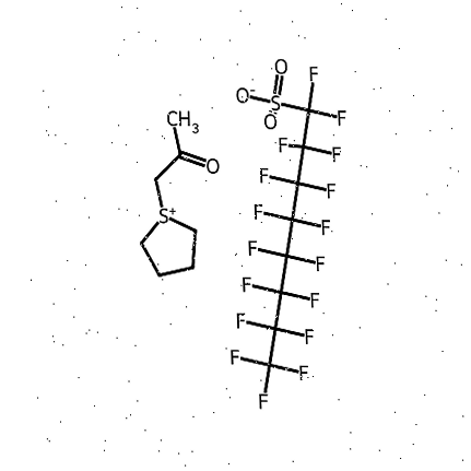 CC(=O)C[S+]1CCCC1.O=S(=O)([O-])C(F)(F)C(F)(F)C(F)(F)C(F)(F)C(F)(F)C(F)(F)C(F)(F)C(F)(F)F